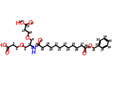 O=C(O)CCOCC(COCCC(=O)O)NC(=O)CCCCCCCCCCC(=O)OCc1ccccc1